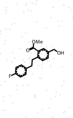 COC(=O)c1cc(CO)ccc1CCc1ccc(F)cc1